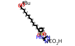 CC(C)(C)OC(=O)CCCCCCCCCCCCCc1cccc(S(=O)(=O)Nc2cnc(C(=O)O)nc2)c1